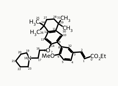 CCOC(=O)/C=C/c1ccc(OC)c(-c2cc3c(cc2OCCN2CCCCC2)C(C)(C)CCC3(C)C)c1